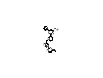 CCc1ccnc(-n2cnc(CN3CCCC(c4nc(O)cc(-c5cccs5)n4)C3)c2)n1